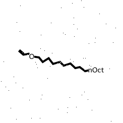 C=CCOCCCCCCCCCCCCCCCCCC